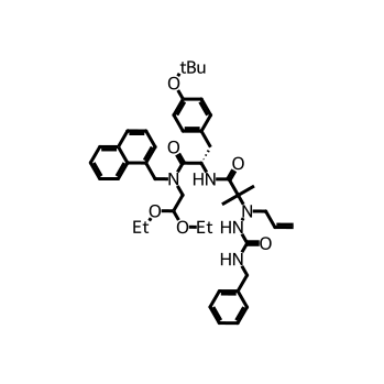 C=CCN(NC(=O)NCc1ccccc1)C(C)(C)C(=O)N[C@@H](Cc1ccc(OC(C)(C)C)cc1)C(=O)N(Cc1cccc2ccccc12)CC(OCC)OCC